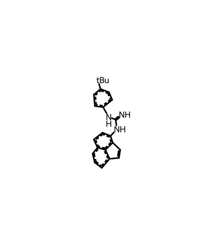 CC(C)(C)c1ccc(NC(=N)Nc2ccc3cccc4c3c2C=C4)cc1